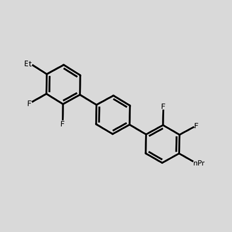 CCCc1ccc(-c2ccc(-c3ccc(CC)c(F)c3F)cc2)c(F)c1F